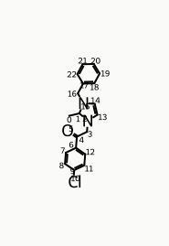 CC1N(CC(=O)c2ccc(Cl)cc2)C=CN1Cc1ccccc1